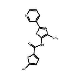 CC(=O)c1ccc(C(=O)Nc2sc(-c3cccnc3)nc2C)s1